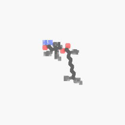 CCC[C@@H](C(N)=O)C(C)(C)COC(=O)[C@H](CCCCCC[C@H](C(C)C)C(F)(F)F)C(C)C